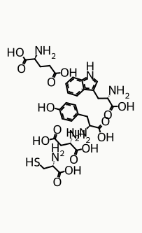 N[C@@H](CC(=O)O)C(=O)O.N[C@@H](CCC(=O)O)C(=O)O.N[C@@H](CS)C(=O)O.N[C@@H](Cc1c[nH]c2ccccc12)C(=O)O.N[C@@H](Cc1ccc(O)cc1)C(=O)O